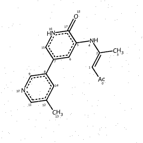 CC(=O)C=C(C)Nc1cc(-c2cncc(C)c2)c[nH]c1=O